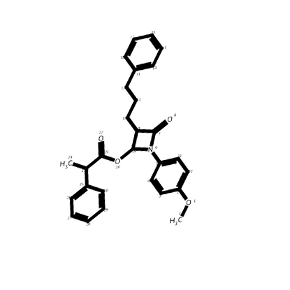 COc1ccc(N2C(=O)C(CCCc3ccccc3)C2OC(=O)C(C)c2ccccc2)cc1